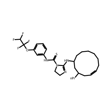 CCCC1CC=CCCCCCCC(NC2=NCCN2C(=S)Nc2cccc(OC(F)(F)C(F)F)c2)C1